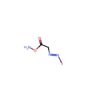 NOC(=O)CN=NI